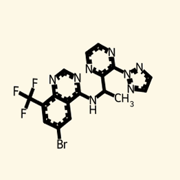 CC(Nc1ncnc2c(C(F)(F)F)cc(Br)cc12)c1nccnc1-n1nccn1